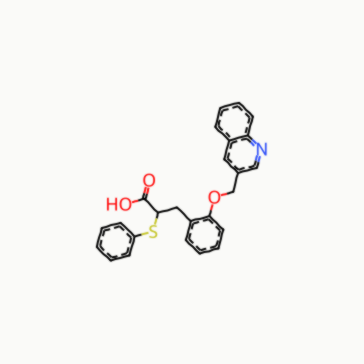 O=C(O)C(Cc1ccccc1OCc1cnc2ccccc2c1)Sc1ccccc1